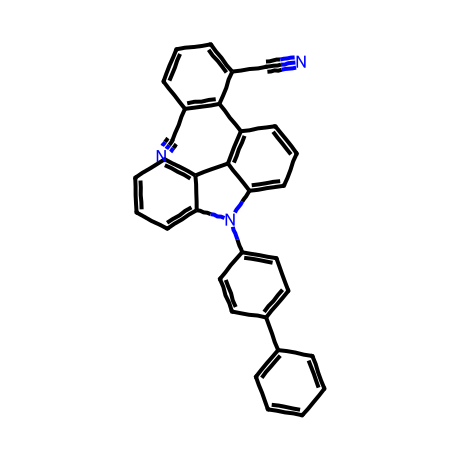 N#Cc1cccc(C#N)c1-c1cccc2c1c1ccccc1n2-c1ccc(-c2ccccc2)cc1